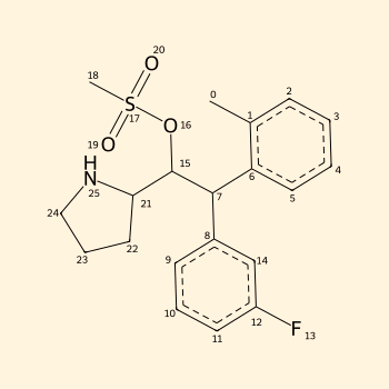 Cc1ccccc1C(c1cccc(F)c1)C(OS(C)(=O)=O)C1CCCN1